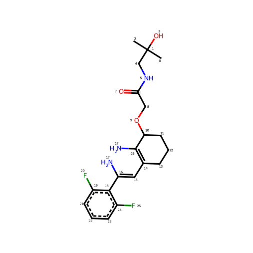 CC(C)(O)CNC(=O)COC1CCCC(/C=C(\N)c2c(F)cccc2F)=C1N